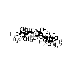 CC1=C(C)C(C)(CCC(C)(C)N2C(C)=C(C)C(C)(C)C2(C)C)CN1C(C)(C)CCC1(C)C(C)=C(C)N(C)C1(C)C